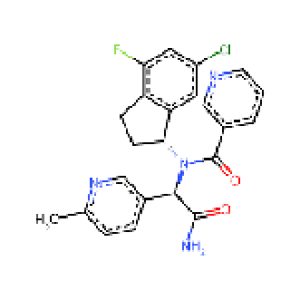 Cc1ccc([C@H](C(N)=O)N(C(=O)c2cccnc2)[C@@H]2CCc3c(F)cc(Cl)cc32)cn1